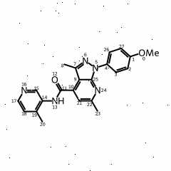 COc1ccc(-n2nc(C)c3c(C(=O)Nc4cnccc4C)cc(C)nc32)cc1